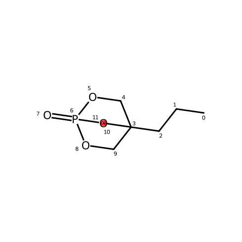 CCCC12COP(=O)(OC1)OC2